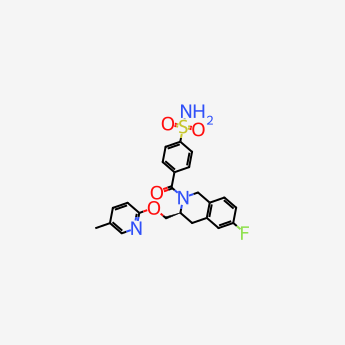 Cc1ccc(OC[C@@H]2Cc3cc(F)ccc3CN2C(=O)c2ccc(S(N)(=O)=O)cc2)nc1